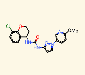 COc1ccc(-n2ccc(NC(=O)N[C@H]3CCOc4c(Cl)cccc43)n2)cn1